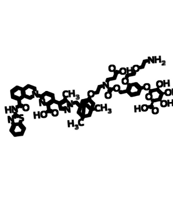 Cc1c(-c2ccc(N3CCc4cccc(C(=O)Nc5nc6ccccc6s5)c4C3)nc2C(=O)O)cnn1CC12CC3(C)CC(C)(C1)CC(OCCN(CCC(=O)O)C(=O)OCc1ccc(O[C@@H]4O[C@H](C(=O)O)[C@@H](O)[C@H](O)[C@H]4O)cc1OCCOCCN)(C3)C2